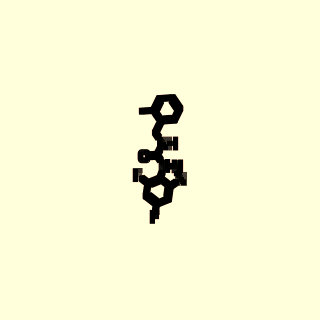 Cc1ccccc1CNC(=O)n1nnc2cc(F)cc(F)c21